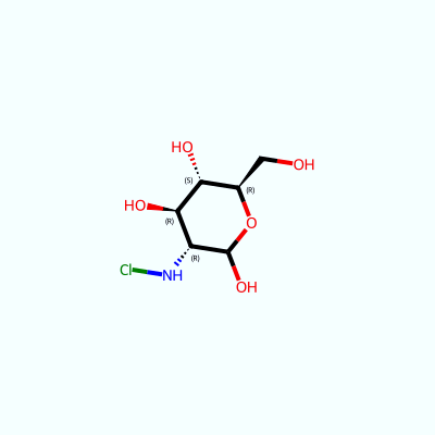 OC[C@H]1OC(O)[C@H](NCl)[C@@H](O)[C@@H]1O